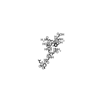 CO[C@@H]1[C@H](OC(=O)NCC(=O)N[C@@H](CCCNC(N)=O)C(=O)NCC(=O)N[C@@H](CC(=O)O)C(=O)N[C@@H](Cc2ccc(CO)cc2)C(=O)N[C@@H](CCCNC(N)=O)C(=O)N[C@@H](CCC(=O)O)C(N)=O)CC[C@]2(CO2)[C@H]1[C@@]1(C)O[C@@H]1CCC(C)C